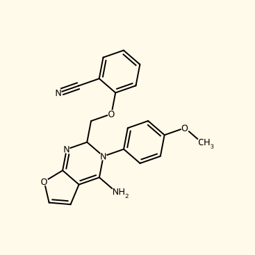 COc1ccc(N2C(N)=c3ccoc3=NC2COc2ccccc2C#N)cc1